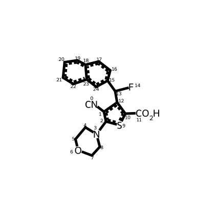 [C-]#[N+]c1c(N2CCOCC2)sc(C(=O)O)c1C(F)c1ccc2ccccc2c1